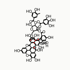 Cc1cc(C(=O)OC2C(O)OC3COC(=O)c4cc(Oc5c(-c6cc(O)c(O)c(O)c6)[o+]c6cc(O)cc7c6c5-c5c(C(=O)O)cc(O)c(O)c5O7)c(O)c(O)c4-c4c(cc(O)c(O)c4O)C(=O)O[C@H]3[C@@H]2OC(=O)c2cc(O)c(O)c(O)c2)cc(O)c1O